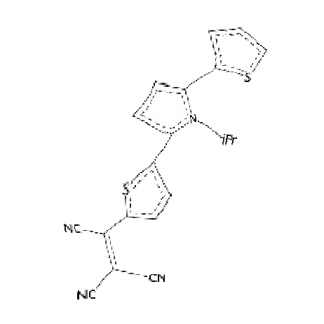 CC(C)n1c(-c2cccs2)ccc1-c1ccc(C(C#N)=C(C#N)C#N)s1